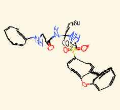 CCCCC(NC(=O)CNc1ccccc1)(NS(=O)(=O)c1ccc2oc3ccccc3c2c1)C(=O)O